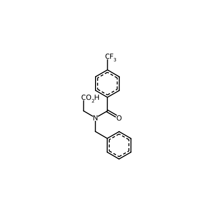 O=C(O)CN(Cc1ccccc1)C(=O)c1ccc(C(F)(F)F)cc1